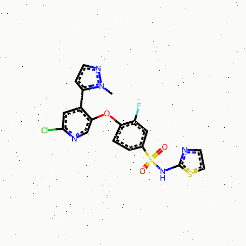 Cn1nccc1-c1cc(Cl)ncc1Oc1ccc(S(=O)(=O)Nc2nccs2)cc1F